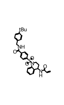 C=CC(=O)NC1CCN(S(=O)(=O)c2ccc(C(=O)NCc3ccc(C(C)(C)C)cc3)cc2)c2ccccc21